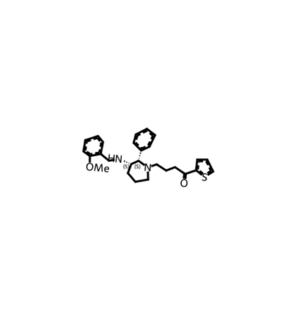 COc1ccccc1CN[C@H]1CCCN(CCCC(=O)c2cccs2)[C@H]1c1ccccc1